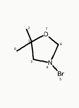 CC1(C)CN(Br)CO1